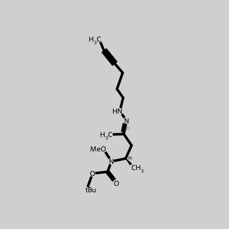 CC#CCCCN/N=C(\C)C[C@@H](C)N(OC)C(=O)OC(C)(C)C